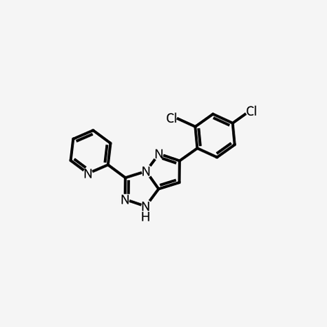 Clc1ccc(-c2cc3[nH]nc(-c4ccccn4)n3n2)c(Cl)c1